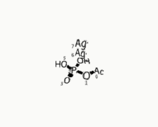 CC(=O)OP(=O)(O)O.[Ag].[Ag]